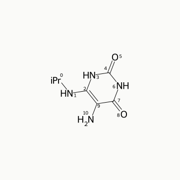 CC(C)Nc1[nH]c(=O)[nH]c(=O)c1N